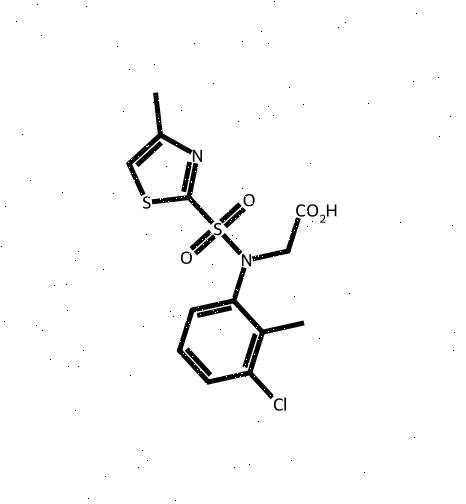 Cc1csc(S(=O)(=O)N(CC(=O)O)c2cccc(Cl)c2C)n1